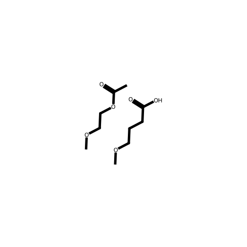 COCCCC(=O)O.COCCOC(C)=O